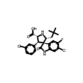 CC(C)(C)C[C@H]1N[C@@H](C(=O)O)[C@H](c2cccc(Cl)c2)[C@@]12C(=O)Nc1cc(Cl)c(F)cc12